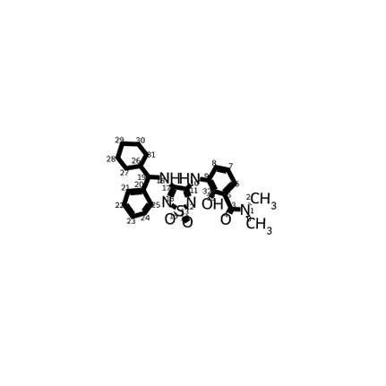 CN(C)C(=O)c1cccc(NC2=NS(=O)(=O)N=C2NC(c2ccccc2)C2CCCCC2)c1O